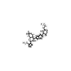 Cc1nonc1C(=O)N[C@H](c1cn2ncc(C(NC(=O)CCC(F)(F)F)C(F)F)cc2n1)C1CCC(F)(F)CC1